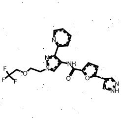 O=C(Nc1cn(CCOCC(F)(F)F)nc1-c1ccccn1)c1ccc(-c2cn[nH]c2)o1